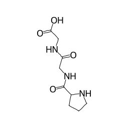 O=C(O)CNC(=O)CNC(=O)C1CCCN1